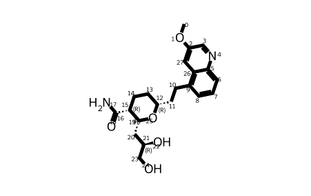 COc1cnc2cccc(CC[C@H]3CC[C@@H](C(N)=O)[C@@H](C[C@@H](O)CO)O3)c2c1